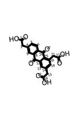 O=C(O)Cc1ccc2c(c1)C(=O)c1cc(CC(=O)O)cc(CC(=O)O)c1C2=O